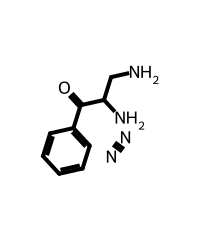 N#N.NCC(N)C(=O)c1ccccc1